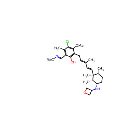 CO/N=C/c1c(C)c(Cl)c(OC)c(C/C=C(C)/C=C/[C@@]2(C)[C@H](C)CC[C@H](NC3COC3)[C@@H]2C)c1O